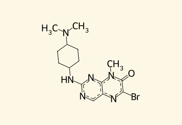 CN(C)C1CCC(Nc2ncc3nc(Br)c(=O)n(C)c3n2)CC1